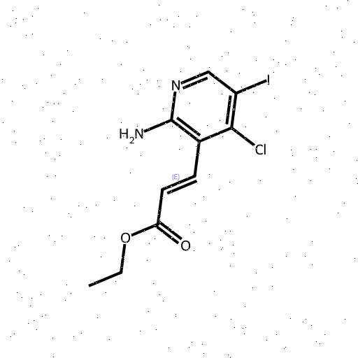 CCOC(=O)/C=C/c1c(N)ncc(I)c1Cl